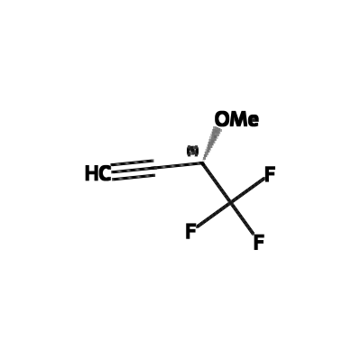 C#C[C@H](OC)C(F)(F)F